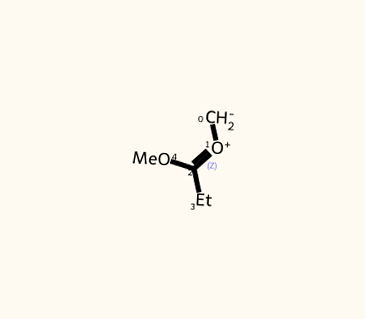 [CH2-]/[O+]=C(/CC)OC